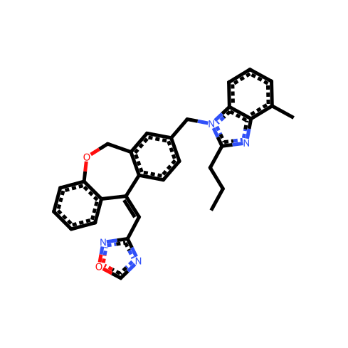 CCCc1nc2c(C)cccc2n1Cc1ccc2c(c1)COc1ccccc1C2=Cc1ncon1